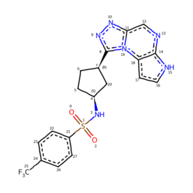 O=S(=O)(N[C@H]1CC[C@@H](c2nnc3cnc4[nH]ccc4n23)C1)c1ccc(C(F)(F)F)cc1